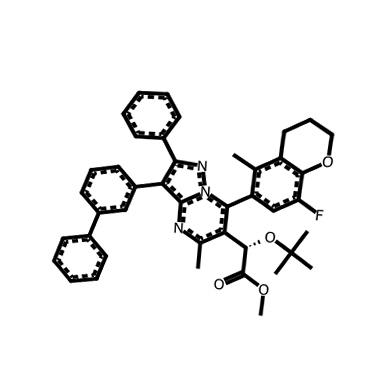 COC(=O)[C@@H](OC(C)(C)C)c1c(C)nc2c(-c3cccc(-c4ccccc4)c3)c(-c3ccccc3)nn2c1-c1cc(F)c2c(c1C)CCCO2